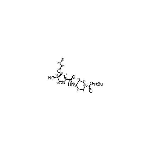 CC(C)(C)OC(=O)N1CCC(NC(=O)c2cc(OCCF)c(C#N)cn2)CC1